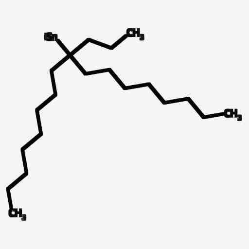 CCCCCCCC[C]([Sn])(CCC)CCCCCCCC